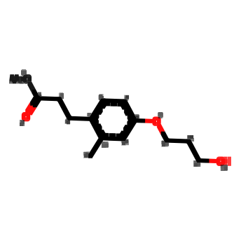 COC(=O)CCc1ccc(OCCCO)cc1C